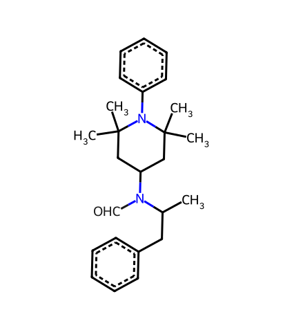 CC(Cc1ccccc1)N(C=O)C1CC(C)(C)N(c2ccccc2)C(C)(C)C1